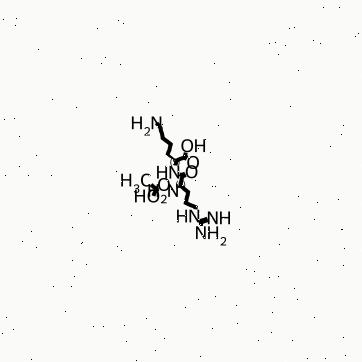 CC(=O)O.N=C(N)NCCC[C@H](N)C(=O)N[C@@H](CCCCN)C(=O)O